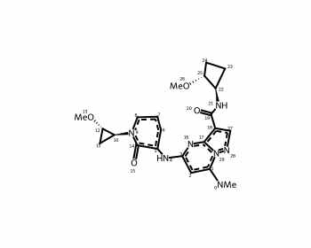 CNc1cc(Nc2cccn([C@H]3C[C@@H]3OC)c2=O)nc2c(C(=O)N[C@@H]3CC[C@H]3OC)cnn12